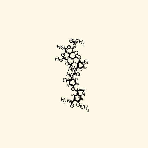 COc1cc2nccc(Oc3ccc(NC(=O)Nc4ccc(Cl)c(O[C@@H]5O[C@@H](COC(C)=O)[C@H](CC(=O)O)[C@H](CC(=O)O)[C@H]5CC(=O)O)c4)c(Cl)c3)c2cc1C(N)=O